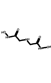 O=C(CNCC(=O)NO)NO